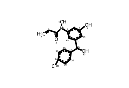 C=CC(=O)N(C)c1cc(O)cc(C(O)c2ccc(Cl)cc2)c1